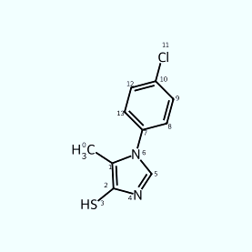 Cc1c(S)ncn1-c1ccc(Cl)cc1